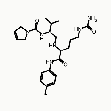 [CH2]c1ccc(NC(=O)[C@H](CCCNC(N)=O)NC[C@@H](NC(=O)N2CC=CC2)C(C)C)cc1